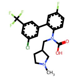 CN1CCC(CN(C(=O)O)c2ccc(F)cc2-c2cc(Cl)cc(C(F)(F)F)c2)C1